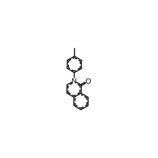 Cc1ccc(-n2ccc3ccccc3c2=O)cc1